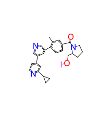 Cc1cc(C(=O)N2CCCC2COI)ccc1-c1cncc(-c2ccnc(C3CC3)c2)c1